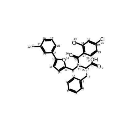 O=C(O)[C@H](Cc1ccccc1)N(Cc1ccc(-c2cccc(F)c2)o1)C(=O)c1ccc(Cl)cc1Cl